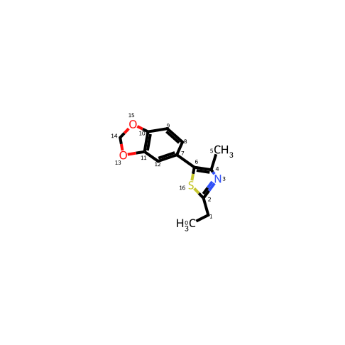 CCc1nc(C)c(-c2ccc3c(c2)OCO3)s1